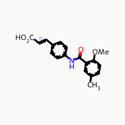 COc1ccc(C)cc1C(=O)Nc1ccc(/C=C/C(=O)O)cc1